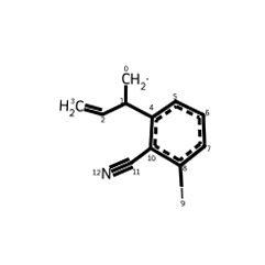 [CH2]C(C=C)c1cccc(I)c1C#N